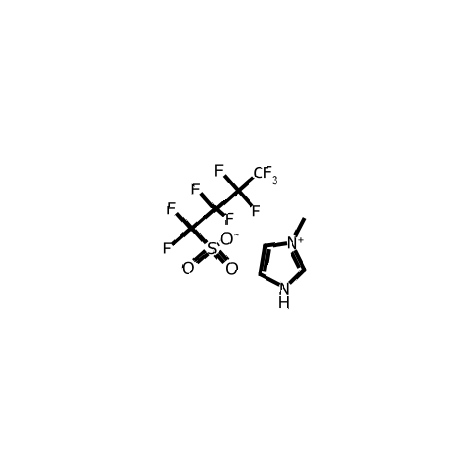 C[n+]1cc[nH]c1.O=S(=O)([O-])C(F)(F)C(F)(F)C(F)(F)C(F)(F)F